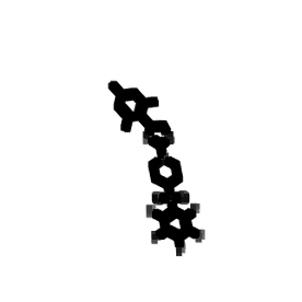 Cc1cc(C)c(-c2csc(N3CCC(S(=O)(=O)c4c(F)c(F)c(F)c(F)c4F)CC3)n2)c(C)c1